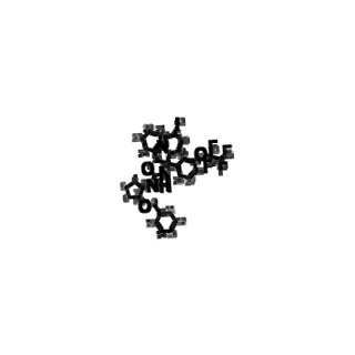 O=C(N[C@@H]1CCC[C@H]1OCc1ccccc1)N[C@@](Cc1ccccc1)(c1cccc(OC(F)(F)C(F)F)c1)c1ccc(I)cn1